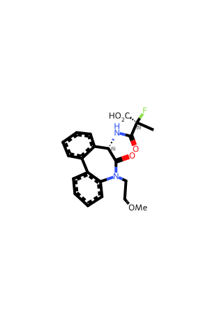 COCCN1C(=O)[C@@H](NC(=O)[C@](C)(F)C(=O)O)c2ccccc2-c2ccccc21